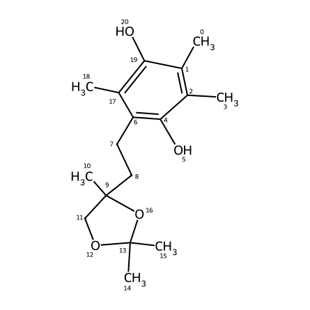 Cc1c(C)c(O)c(CCC2(C)COC(C)(C)O2)c(C)c1O